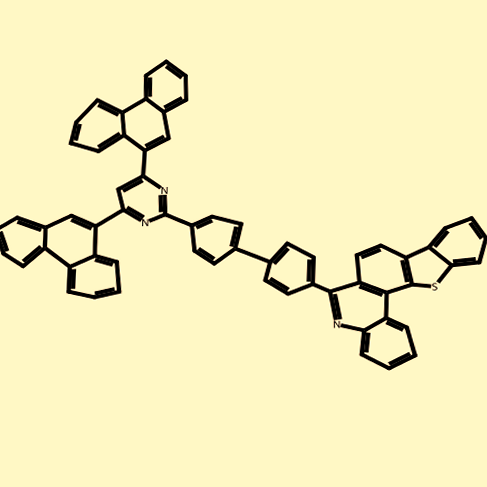 c1ccc2c(c1)cc(-c1cc(-c3cc4ccccc4c4ccccc34)nc(-c3ccc(-c4ccc(-c5nc6ccccc6c6c5ccc5c7ccccc7sc56)cc4)cc3)n1)c1ccccc12